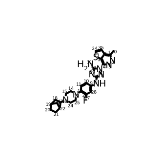 Cc1nnc(-n2nc(Nc3ccc(N4CCN(C5CC6CCC5C6)CC4)c(F)c3)nc2N)c2sccc12